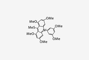 COc1cc(OC)cc(-[n+]2c3cc(OC)cc(OC)c3c(SC)c3c(OC)cc(OC)cc32)c1